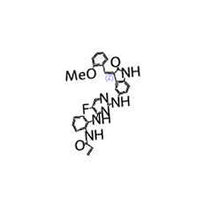 C=CC(=O)Nc1ccccc1Nc1nc(Nc2ccc3c(c2)/C(=C/c2ccccc2OC)C(=O)N3)ncc1F